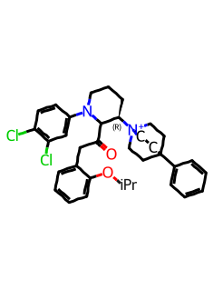 CC(C)Oc1ccccc1CC(=O)C1[C@H]([N+]23CCC(c4ccccc4)(CC2)CC3)CCCN1c1ccc(Cl)c(Cl)c1